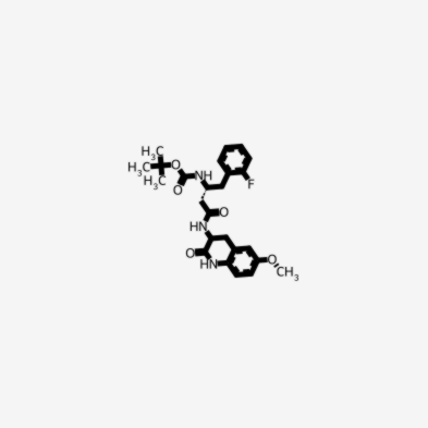 COc1ccc2c(c1)CC(NC(=O)C[C@@H](Cc1ccccc1F)NC(=O)OC(C)(C)C)C(=O)N2